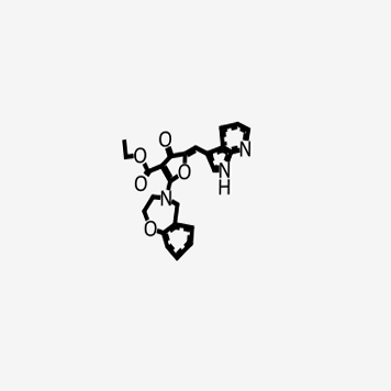 CCOC(=O)C1=C(N2CCOc3ccccc3C2)OC(=Cc2c[nH]c3ncccc23)C1=O